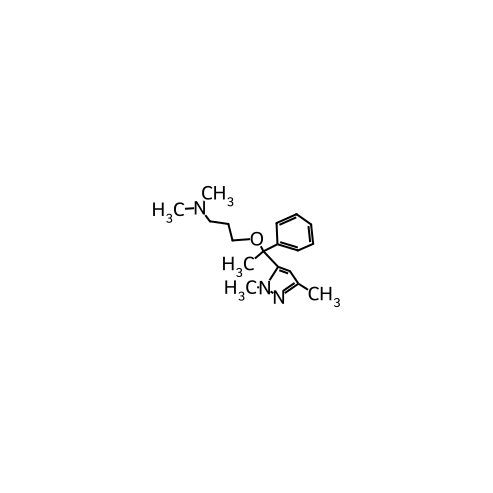 Cc1cc(C(C)(OCCCN(C)C)c2ccccc2)n(C)n1